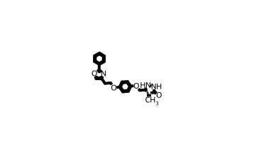 CN1C(=O)NNC1COc1ccc(OCCc2coc(-c3ccccc3)n2)cc1